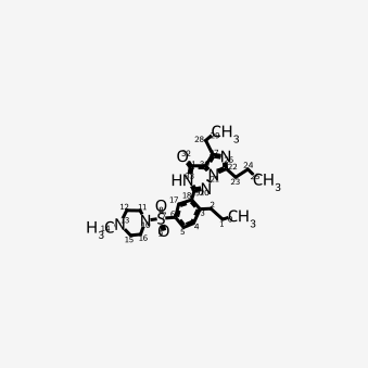 CCCc1ccc(S(=O)(=O)N2CCN(C)CC2)cc1-c1nn2c(CCC)nc(CC)c2c(=O)[nH]1